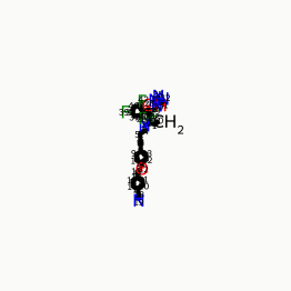 C=C/C(=N\C=C\C#Cc1ccc(OCc2ccc(C#N)cc2)cc1)C(F)(F)C(O)(Cn1cnnn1)c1ccc(F)cc1F